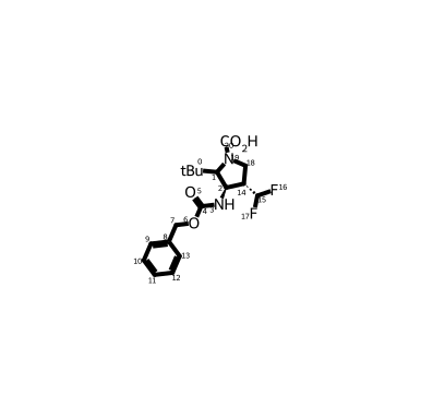 CC(C)(C)C1[C@H](NC(=O)OCc2ccccc2)[C@@H](C(F)F)CN1C(=O)O